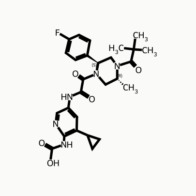 C[C@@H]1CN(C(=O)C(=O)Nc2cnc(NC(=O)O)c(C3CC3)c2)[C@@H](c2ccc(F)cc2)CN1C(=O)C(C)(C)C